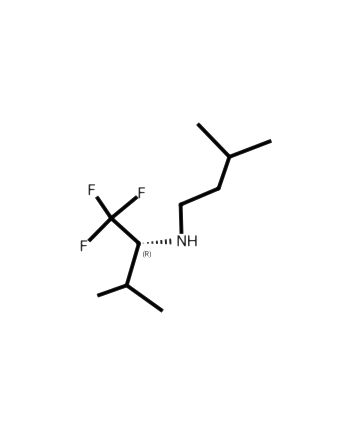 CC(C)CCN[C@H](C(C)C)C(F)(F)F